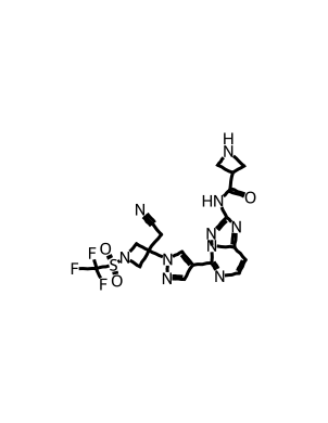 N#CCC1(n2cc(-c3nccc4nc(NC(=O)C5CNC5)nn34)cn2)CN(S(=O)(=O)C(F)(F)F)C1